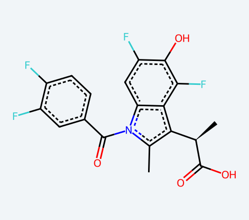 Cc1c([C@@H](C)C(=O)O)c2c(F)c(O)c(F)cc2n1C(=O)c1ccc(F)c(F)c1